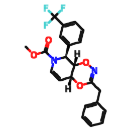 COC(=O)N1C=C[C@H]2OC(Cc3ccccc3)=NO[C@H]2[C@@H]1c1cccc(C(F)(F)F)c1